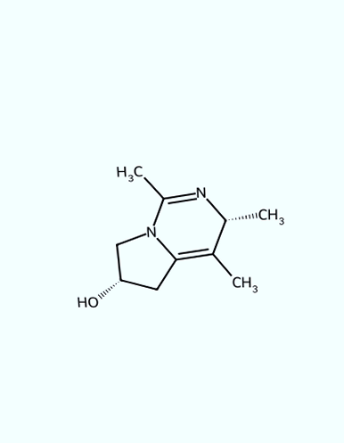 CC1=N[C@H](C)C(C)=C2C[C@H](O)CN12